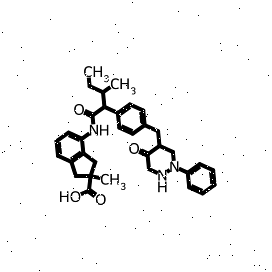 CCC(C)C(C(=O)Nc1cccc2c1CC(C)(C(=O)O)C2)c1ccc(CC2CN(c3ccccc3)NCC2=O)cc1